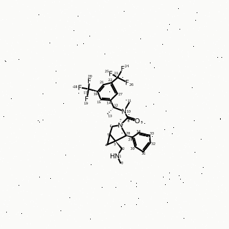 CNC[C@@]12CC1CN(C(=O)N(C)[C@H](C)c1cc(C(F)(F)F)cc(C(F)(F)F)c1)[C@H]2c1ccccc1